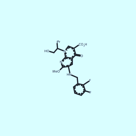 COc1nc2c(cc1NCc1cccc(F)c1F)c(=O)c(C(=O)O)cn2C(CO)C(C)C